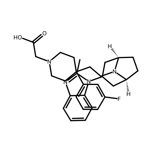 Cc1nc2ccccc2n1C1C[C@H]2CC[C@@H](C1)N2CCC1(c2cccc(F)c2)CCN(CC(=O)O)CC1